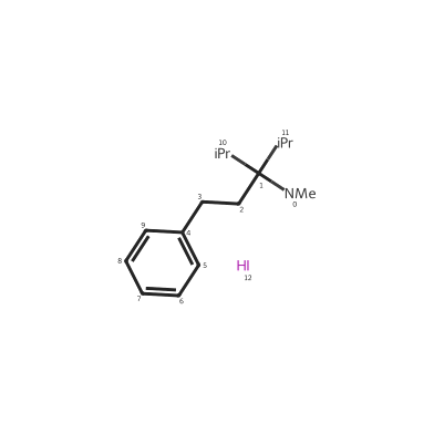 CNC(CCc1ccccc1)(C(C)C)C(C)C.I